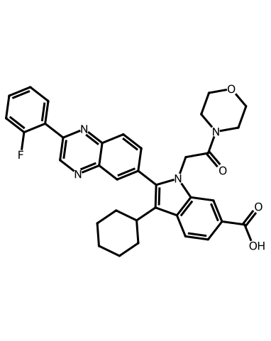 O=C(O)c1ccc2c(C3CCCCC3)c(-c3ccc4nc(-c5ccccc5F)cnc4c3)n(CC(=O)N3CCOCC3)c2c1